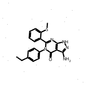 CCc1ccc(-n2c(-c3ccccc3SC)nc3[nH]nc(N)c3c2=O)cc1